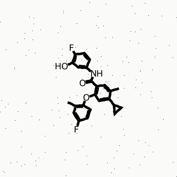 Cc1cc(F)ccc1Oc1cc(C2CC2)c(C)cc1C(=O)Nc1ccc(F)c(O)c1